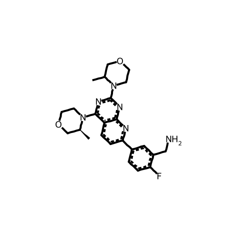 CC1COCCN1c1nc(N2CCOC[C@@H]2C)c2ccc(-c3ccc(F)c(CN)c3)nc2n1